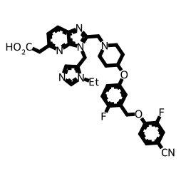 CCn1cncc1Cn1c(CN2CCC(Oc3ccc(F)c(COc4ccc(C#N)cc4F)c3)CC2)nc2ccc(CC(=O)O)nc21